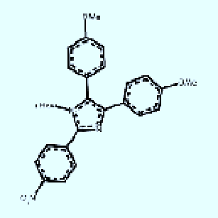 CCCCCCn1c(-c2ccc([N+](=O)[O-])cc2)nc(-c2ccc(OC)cc2)c1-c1ccc(OC)cc1